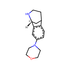 c1cc2c(cc1N1CCOCC1)[C@H]1CC2CCN1